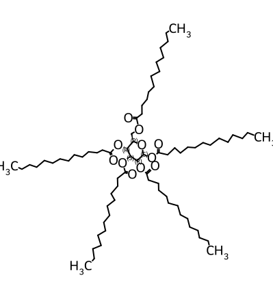 CCCCCCCCCCCCCC(=O)OC[C@H]1O[C@@H](OC(=O)CCCCCCCCCCCCC)[C@H](OC(=O)CCCCCCCCCCCCC)[C@@H](OC(=O)CCCCCCCCCCCCC)[C@@H]1OC(=O)CCCCCCCCCCCCC